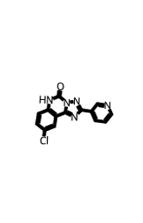 O=c1[nH]c2ccc(Cl)cc2c2nc(-c3cccnc3)nn12